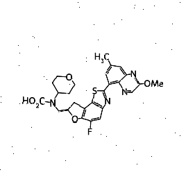 COc1cnc2c(-c3nc4cc(F)c5c(c4s3)CC(CN(C(=O)O)C3CCOCC3)O5)cc(C)cc2n1